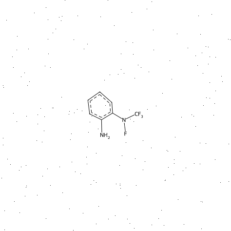 Nc1ccccc1N(F)C(F)(F)F